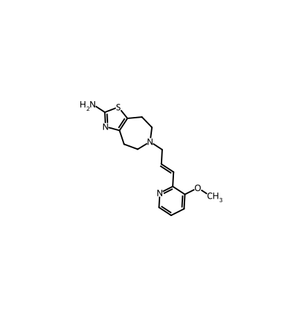 COc1cccnc1/C=C/CN1CCc2nc(N)sc2CC1